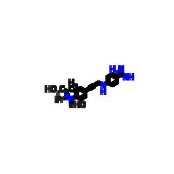 Cc1cc(C#CCNc2ccc(C(=N)N)cc2)ccc1N(C=O)N(CC(=O)O)C(C)C